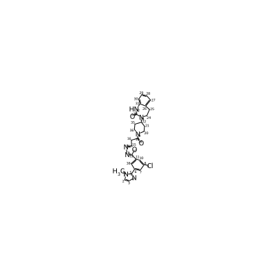 Cn1ccnc1-c1cc(Cl)cc(-c2nnc(CC(=O)N3CCC(N4CCc5ccccc5NC4=O)CC3)o2)c1